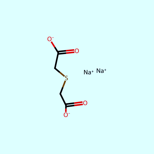 O=C([O-])CSCC(=O)[O-].[Na+].[Na+]